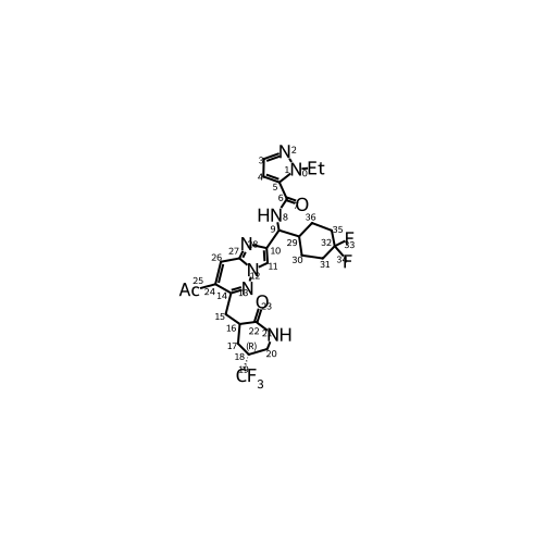 CCn1nccc1C(=O)NC(c1cn2nc(CC3C[C@@H](C(F)(F)F)CNC3=O)c(C(C)=O)cc2n1)C1CCC(F)(F)CC1